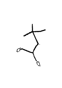 CC(C)(C)[CH]C(Cl)Cl